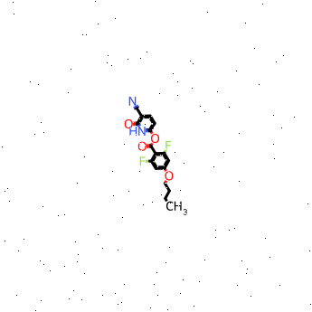 CCCCOc1cc(F)c(C(=O)Oc2ccc(C#N)c(=O)[nH]2)c(F)c1